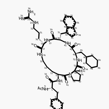 CC(=O)N[C@@H](Cc1ccccc1)C(=O)N[C@H]1CCCNC(=O)[C@H](CCCNC(=N)N)NC(=O)[C@H](Cc2csc3ccccc23)NC(=O)[C@@H](CC2CCCCC2)NC(=O)[C@@H]2CCCN2C1=O